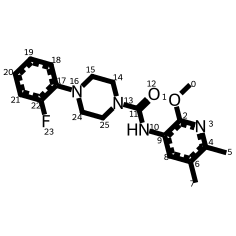 COc1nc(C)c(C)cc1NC(=O)N1CCN(c2ccccc2F)CC1